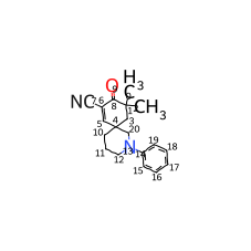 CC1(C)CC2(C=C(C#N)C1=O)CCCN(c1ccccc1)C2